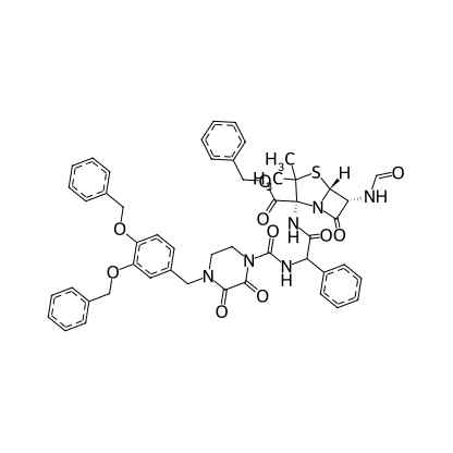 CC1(C)S[C@@H]2[C@H](NC=O)C(=O)N2[C@@]1(NC(=O)C(NC(=O)N1CCN(Cc2ccc(OCc3ccccc3)c(OCc3ccccc3)c2)C(=O)C1=O)c1ccccc1)C(=O)OCc1ccccc1